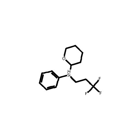 FC(F)(F)CC[SiH](c1ccccc1)C1CCCCO1